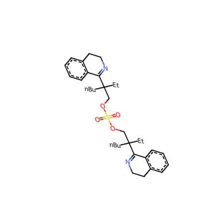 CCCCC(CC)(COS(=O)(=O)OCC(CC)(CCCC)C1=NCCc2ccccc21)C1=NCCc2ccccc21